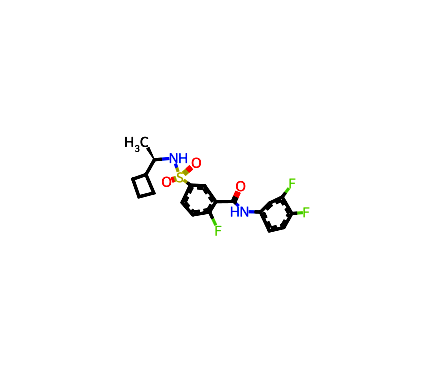 C[C@@H](NS(=O)(=O)c1ccc(F)c(C(=O)Nc2ccc(F)c(F)c2)c1)C1CCC1